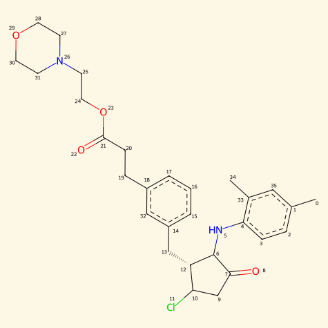 Cc1ccc(NC2C(=O)CC(Cl)[C@@H]2Cc2cccc(CCC(=O)OCCN3CCOCC3)c2)c(C)c1